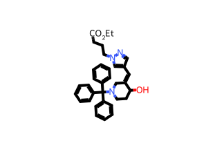 CCOC(=O)CCCn1cc(/C=C2\CN(C(c3ccccc3)(c3ccccc3)c3ccccc3)CCC2O)cn1